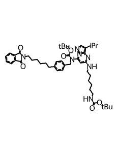 CC(C)c1cnn2c(N(Cc3ccc(CCCCCCN4C(=O)c5ccccc5C4=O)cc3)C(=O)OC(C)(C)C)cc(NCCCCCCNC(=O)OC(C)(C)C)nc12